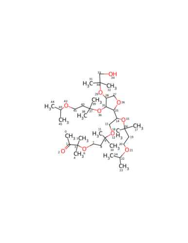 CC(=O)C(C)(C)OCCC(C)(C)OCC(OC(C)(C)CCOC(C)C)C1OCC(OC(C)(C)CO)C1OC(C)(C)CCOC(C)C